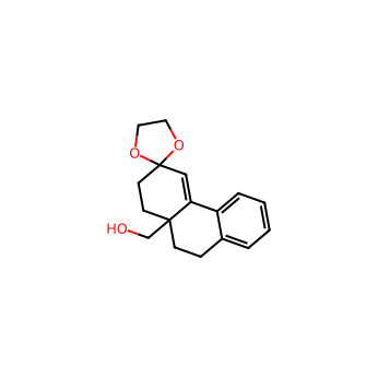 OCC12CCc3ccccc3C1=CC1(CC2)OCCO1